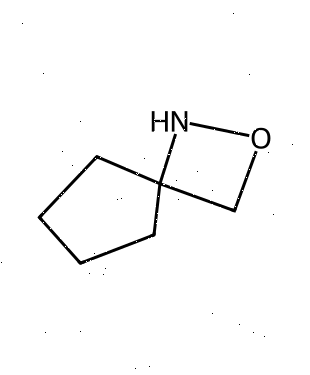 C1CCC2(C1)CON2